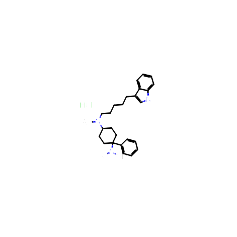 CC(=O)N(CCCCCc1c[nH]c2ccccc12)C1CCC(c2ccccc2)(N(C)C)CC1.Cl